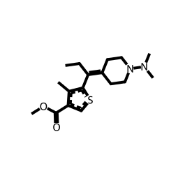 CCC(=C1CCN(N(C)C)CC1)c1scc(C(=O)OC)c1C